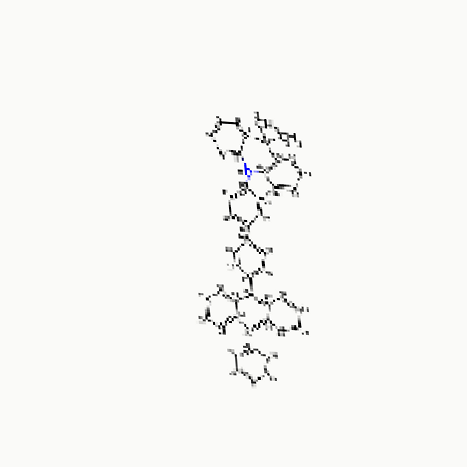 CC1(C)c2ccccc2-n2c3ccc(-c4ccc(-c5c6ccccc6c(-c6ccccc6)c6ccccc56)cc4)cc3c3cccc1c32